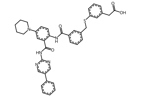 O=C(O)Cc1cccc(SCc2cccc(C(=O)Nc3ccc(N4CCCCC4)cc3C(=O)Nc3ncc(-c4ccccc4)cn3)c2)c1